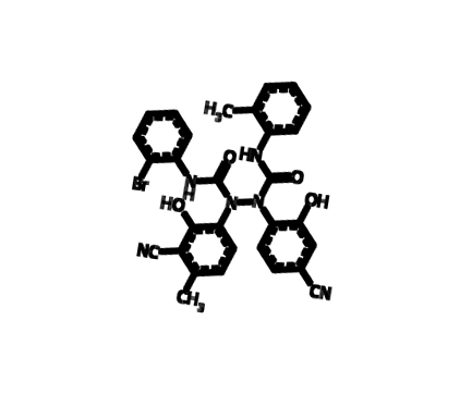 Cc1ccccc1NC(=O)N(c1ccc(C#N)cc1O)N(C(=O)Nc1ccccc1Br)c1ccc(C)c(C#N)c1O